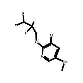 CNc1cnc(OCC(F)(F)C(F)F)c(Cl)c1